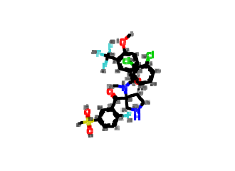 COc1ccc(C(=O)N(C)[C@]2(C(=O)c3cc(S(C)(=O)=O)ccc3F)CNC[C@H]2c2ccc(Cl)c(Cl)c2)cc1C(F)(F)F